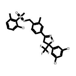 Cc1cc(C2=NOC(c3cc(Cl)cc(Cl)c3)(C(F)(F)F)C2)ccc1CN=S(C)(=O)c1c(C)cccc1Cl